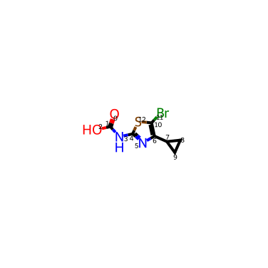 O=C(O)Nc1nc(C2CC2)c(Br)s1